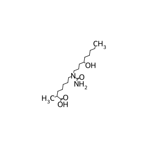 CCCCCC(O)CCCN(CCCCCC(C)C(=O)O)C(N)=O